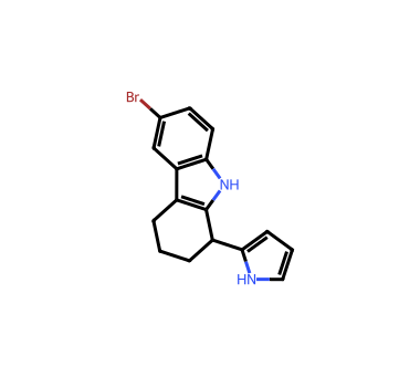 Brc1ccc2[nH]c3c(c2c1)CCCC3c1ccc[nH]1